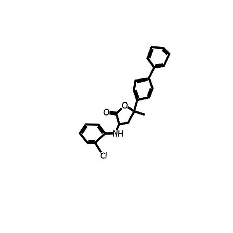 CC1(c2ccc(-c3ccccc3)cc2)CC(Nc2ccccc2Cl)C(=O)O1